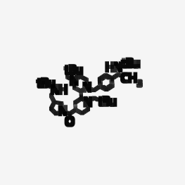 CC(NC(C)(C)C)c1ccc(CN2CCN(CC(C)(C)C)CC2C2CC(C(=O)N3CCC(CNC(C)(C)C)C3)CCN2CC(C)(C)C)cc1